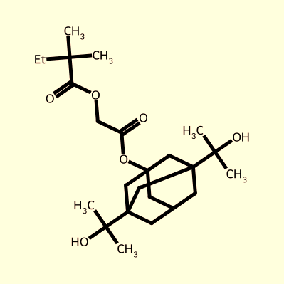 CCC(C)(C)C(=O)OCC(=O)OC12CC3CC(C(C)(C)O)(C1)CC(C(C)(C)O)(C3)C2